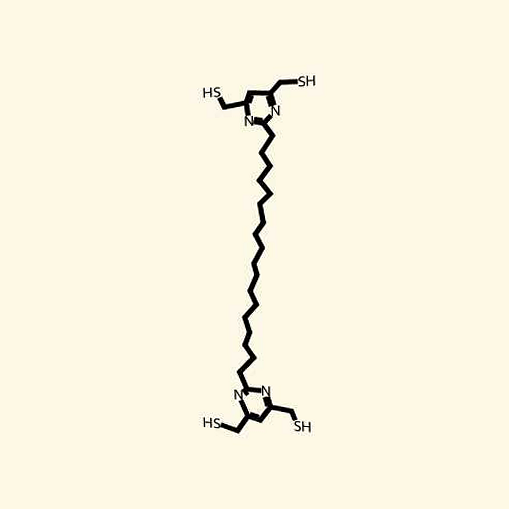 SCc1cc(CS)nc(CCCCCCCCCCCCCCCCCCc2nc(CS)cc(CS)n2)n1